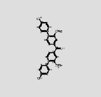 COc1cc(C(=O)c2ccc(-c3ccc(Cl)cc3)c(OC)c2)ccc1-c1ccc(Cl)cc1